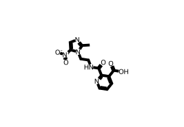 Cc1ncc([N+](=O)[O-])n1CCNC(=O)c1ncccc1C(=O)O